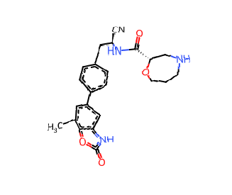 Cc1cc(-c2ccc(C[C@@H](C#N)NC(=O)[C@@H]3CNCCCO3)cc2)cc2[nH]c(=O)oc12